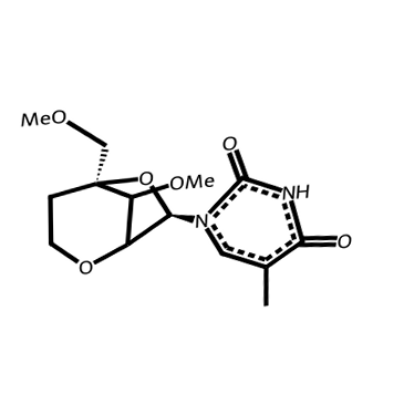 COC[C@@]12CCOC(C1OC)[C@H](n1cc(C)c(=O)[nH]c1=O)O2